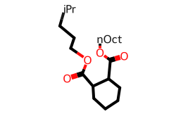 CCCCCCCCOC(=O)C1CCCCC1C(=O)OCCCC(C)C